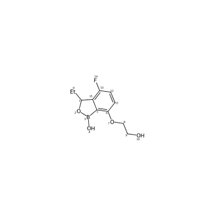 CCC1OB(O)c2c(OCCO)ccc(F)c21